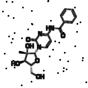 C[C@]1(O)[C@H](O)[C@@H](CO)O[C@H]1n1ccc(NC(=O)c2ccccc2)nc1=O